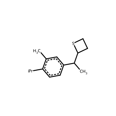 Cc1cc(C(C)C2CCS2)ccc1C(C)C